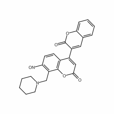 O=Nc1ccc2c(-c3cc4ccccc4oc3=O)cc(=O)oc2c1CN1CCCCC1